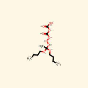 CCCCOC(C)(OCCCC)OOOC(=O)OC(=O)O